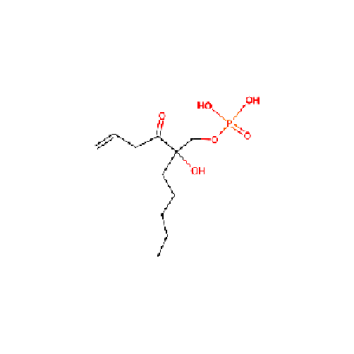 C=CCC(=O)C(O)(CCCCC)COP(=O)(O)O